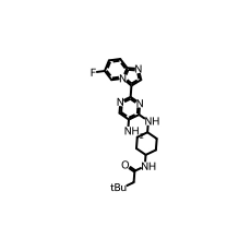 CC(C)(C)CC(=O)NC1CCC(Nc2nc(-c3cnc4ccc(F)cn34)ncc2N)CC1